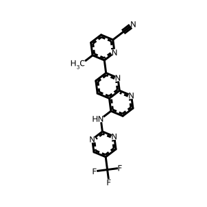 Cc1ccc(C#N)nc1-c1ccc2c(Nc3ncc(C(F)(F)F)cn3)ccnc2n1